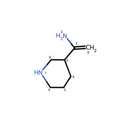 C=C(N)C1CCCNC1